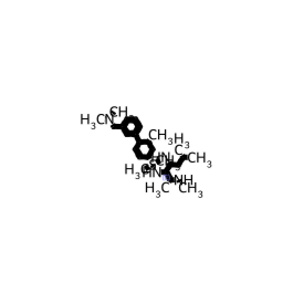 CN/C(C)=C(/NS(C)(C)C1C=CC(c2cccc(CN(C)C)c2)C(C)C1)C(=N)CC(C)C